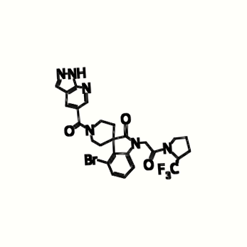 O=C(c1cnc2[nH]ncc2c1)N1CCC2(CC1)C(=O)N(CC(=O)N1CCC[C@H]1C(F)(F)F)c1cccc(Br)c12